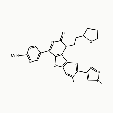 CNc1ccc(-c2nc(=O)n(CCC3CCCO3)c3c2oc2cc(F)c(-c4cnn(C)c4)cc23)cn1